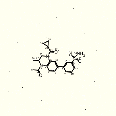 CC(=O)N1c2ccc(-c3cccc(S(N)(=O)=O)c3)cc2N(C(=O)C2CC2)CC1C